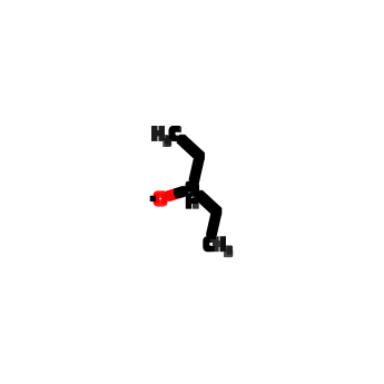 CC[SiH]([O])CC